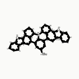 CC(C)(C)c1cc2c3c(c1)-c1cc4c5ccccc5oc4c4cccc(c14)B3c1cccc3c1c-2cc1c2ccccc2oc31